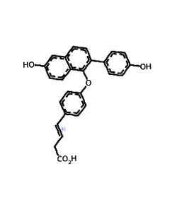 O=C(O)C/C=C/c1ccc(Oc2c(-c3ccc(O)cc3)ccc3cc(O)ccc23)cc1